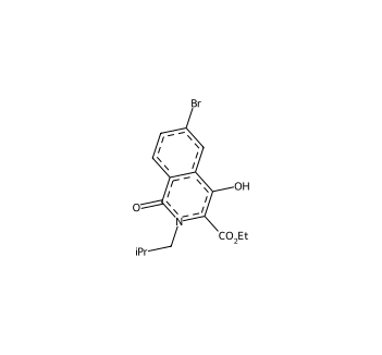 CCOC(=O)c1c(O)c2cc(Br)ccc2c(=O)n1CC(C)C